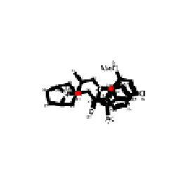 COc1cccc2c(C(C)=O)cn(CC(C)CN3C4CCC3CC(CC(=O)c3ccc(Cl)cc3)C4)c12